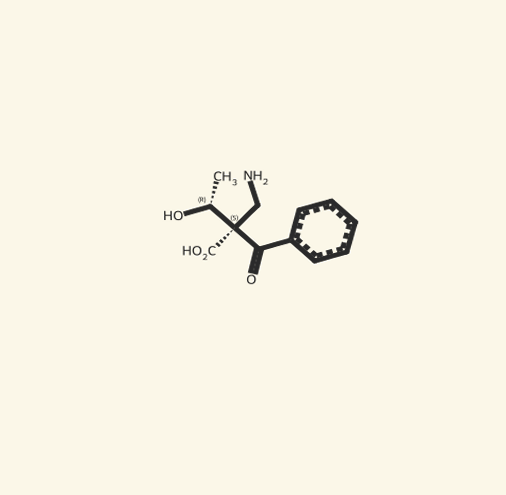 C[C@@H](O)[C@](CN)(C(=O)O)C(=O)c1ccccc1